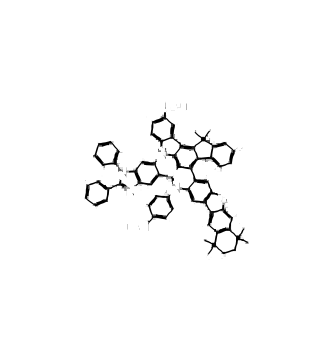 CC(C)(C)c1ccc(N2B3c4cc5nc(-c6ccccc6)n(-c6ccccc6)c5cc4-n4c5ccc(C(C)(C)C)cc5c5c6c(c(c3c54)-c3cc4sc5cc7c(cc5c4cc32)C(C)(C)CCC7(C)C)-c2ccccc2C6(C)C)cc1